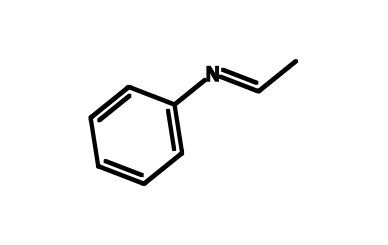 CC=Nc1ccccc1